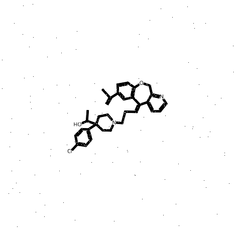 C=C(C)c1ccc2c(c1)/C(=C\CCN1CCC(c3ccc(Cl)cc3)(C(C)O)CC1)c1cccnc1CO2